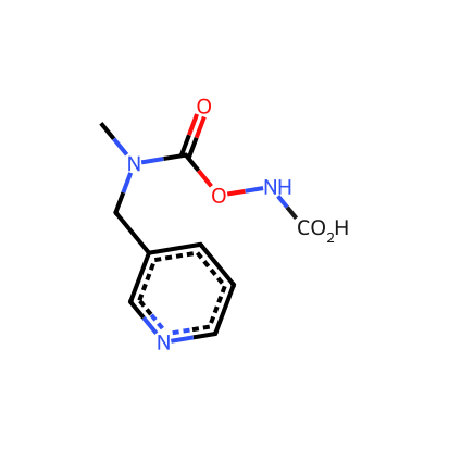 CN(Cc1cccnc1)C(=O)ONC(=O)O